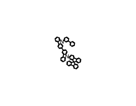 c1ccc(-c2cccc(-n3c4ccccc4c4ccc(-c5ccc6c(c5)c5ccccc5n6-c5ccc6c(c5)C5(c7ccccc7-c7ccccc75)c5ccccc5-6)cc43)c2)cc1